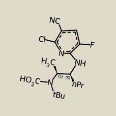 CCC[C@H](Nc1nc(Cl)c(C#N)cc1F)[C@H](C)N(C(=O)O)C(C)(C)C